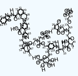 CC(C)[C@H](NC(=O)CCN(CCOCCS(=O)(=O)O)C(=O)CN1C(=O)C=CC1=O)C(=O)N[C@@H](C)C(=O)Nc1ccc(COC(=O)N(CCOC23CC4(C)CC(C)(CC(Cn5cc(-c6ccc(N7CCc8cccc(C(=O)Nc9nc%10ccccc%10s9)c8C7)nc6C(=O)O)cn5)(C4)C2)C3)CCS(=O)(=O)O)c(CC[C@@H]2O[C@H](C(=O)O)[C@@H](O)[C@H](O)[C@H]2O)c1